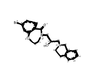 O=C1c2ccc(Br)cc2OCCN1C[C@H](O)CN1CCc2ccccc2C1